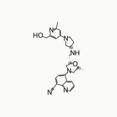 Cc1cc(N2CC[C@H](NC[C@H]3CN(c4ccc(C#N)c5ncccc45)C[C@@H](C)O3)C2)cc(CO)n1